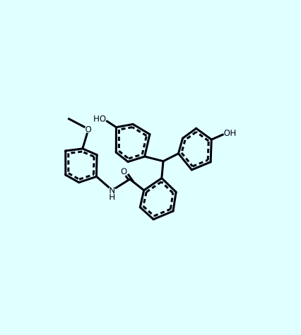 COc1cccc(NC(=O)c2ccccc2C(c2ccc(O)cc2)c2ccc(O)cc2)c1